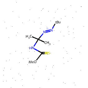 COC(=S)NC(C)(C)/N=N/C(C)(C)C